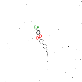 CCCCC[C@H]1CC[C@H]([C@H]2CC[C@H](C(=O)Oc3ccc(C(F)(F)F)cc3)CC2)CC1